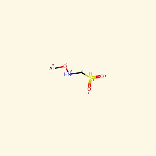 CC(=O)ONC[SH](=O)=O